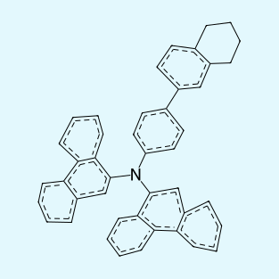 c1ccc2c(c1)cc(N(c1ccc(-c3ccc4c(c3)CCCC4)cc1)c1cc3ccccc3c3ccccc13)c1ccccc12